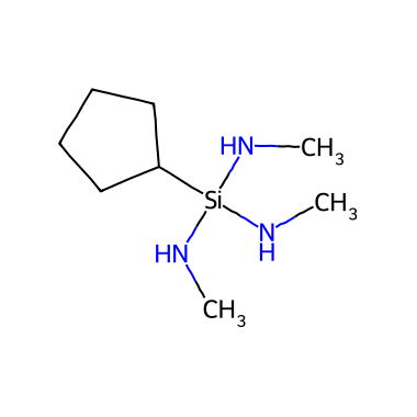 CN[Si](NC)(NC)C1CCCC1